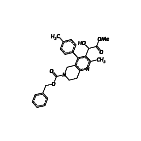 COC(=O)C(O)c1c(C)nc2c(c1-c1ccc(C)cc1)CN(C(=O)OCc1ccccc1)CC2